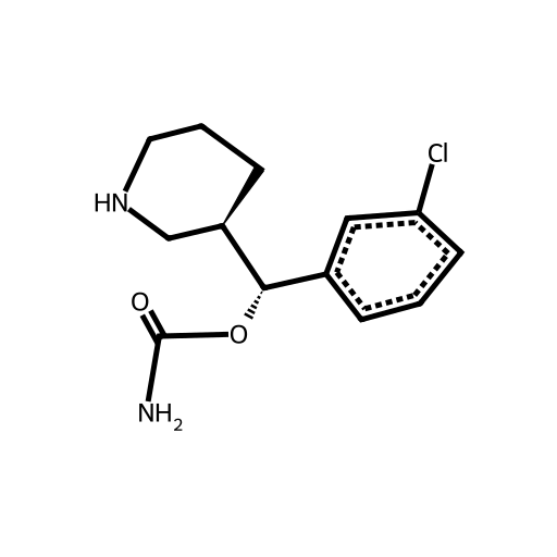 NC(=O)O[C@@H](c1cccc(Cl)c1)[C@@H]1CCCNC1